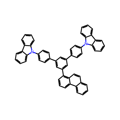 c1ccc2c(c1)ccc1c(-c3cc(-c4ccc(-n5c6ccccc6c6ccccc65)cc4)cc(-c4ccc(-n5c6ccccc6c6ccccc65)cc4)c3)cccc12